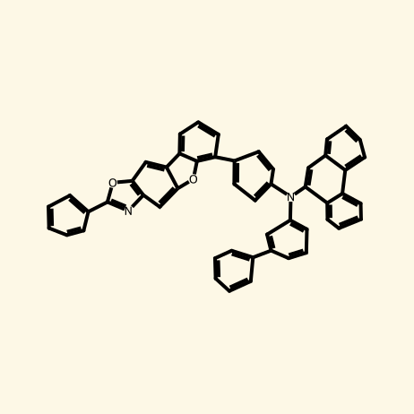 c1ccc(-c2cccc(N(c3ccc(-c4cccc5c4oc4cc6nc(-c7ccccc7)oc6cc45)cc3)c3cc4ccccc4c4ccccc34)c2)cc1